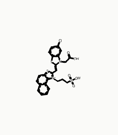 O=C(O)CN1C(=Cc2sc3ccc4ccccc4c3[n+]2CCCS(=O)(=O)O)Sc2ccc(Cl)cc21